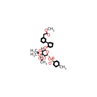 COC(=O)Cc1cccc(-c2ccccc2O[C@H]2O[C@H](COS(=O)(=O)c3ccc(C)cc3)[C@@H](OC(C)=O)[C@@H]3OC(C)(C)O[C@H]23)c1